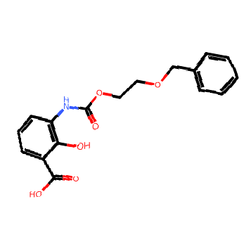 O=C(Nc1cccc(C(=O)O)c1O)OCCOCc1ccccc1